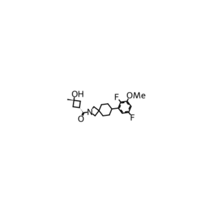 COc1cc(F)cc(C2CCC3(CC2)CN(C(=O)[C@H]2C[C@@](C)(O)C2)C3)c1F